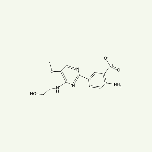 COc1cnc(-c2ccc(N)c([N+](=O)[O-])c2)nc1NCCO